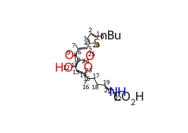 CCCCc1ccc(C=C(C)C(=O)c2c(O)cc(C(C)CCC=CNC(=O)O)oc2=O)s1